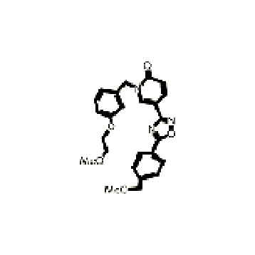 COCCOc1cccc(Cn2cc(-c3noc(-c4ccc(COC)cc4)n3)ccc2=O)c1